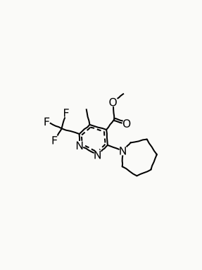 COC(=O)c1c(N2CCCCCC2)nnc(C(F)(F)F)c1C